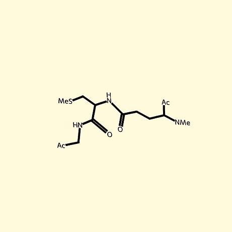 CNC(CCC(=O)NC(CSC)C(=O)NCC(C)=O)C(C)=O